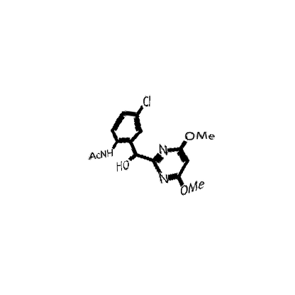 COc1cc(OC)nc(C(O)c2cc(Cl)ccc2NC(C)=O)n1